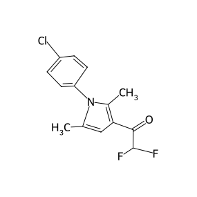 Cc1cc(C(=O)C(F)F)c(C)n1-c1ccc(Cl)cc1